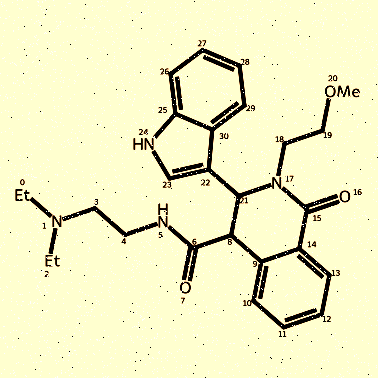 CCN(CC)CCNC(=O)C1c2ccccc2C(=O)N(CCOC)C1c1c[nH]c2ccccc12